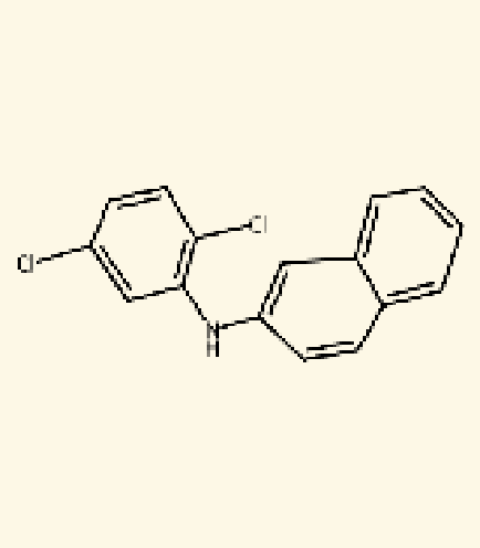 Clc1ccc(Cl)c(Nc2ccc3ccccc3c2)c1